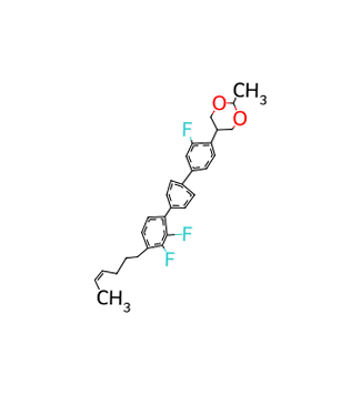 C/C=C\CCCc1ccc(-c2ccc(-c3ccc(C4COC(C)OC4)c(F)c3)cc2)c(F)c1F